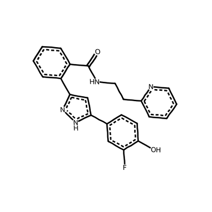 O=C(NCCc1ccccn1)c1ccccc1-c1cc(-c2ccc(O)c(F)c2)[nH]n1